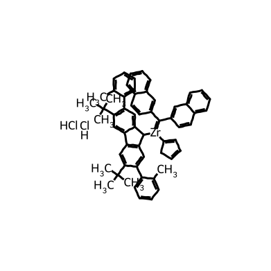 Cc1ccccc1-c1cc2c(cc1C(C)(C)C)-c1cc(C(C)(C)C)c(-c3ccccc3C)cc1[CH]2[Zr]([C]1=CC=CC1)=[C](c1ccc2ccccc2c1)c1ccc2ccccc2c1.Cl.Cl